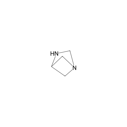 C1NC2CN1C2